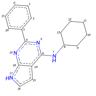 c1ccc(-c2nc(NC3CCCCC3)c3cc[nH]c3n2)cc1